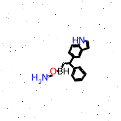 NCOBCC(c1ccccc1)c1ccc2[nH]ccc2c1